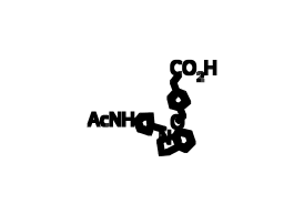 CC(=O)Nc1ccc(CN2CCCc3cccc(OCc4ccc(CCC(=O)O)cc4)c32)cc1